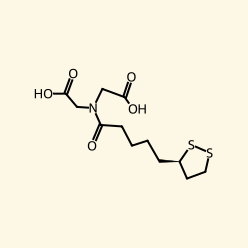 O=C(O)CN(CC(=O)O)C(=O)CCCC[C@@H]1CCSS1